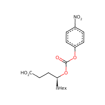 CCCCCC[C@@H](CCC(=O)O)OC(=O)Oc1ccc([N+](=O)[O-])cc1